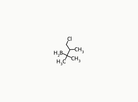 BC(C)(C)C(C)CCl